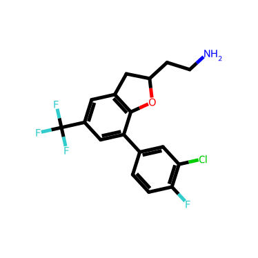 NCCC1Cc2cc(C(F)(F)F)cc(-c3ccc(F)c(Cl)c3)c2O1